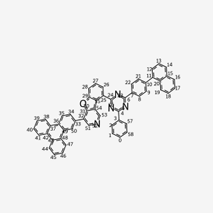 c1ccc(-c2nc(-c3ccc(-c4cccc5ccccc45)cc3)nc(-c3cccc4oc5c(-c6ccc7c8ccccc8c8ccccc8c7c6)cncc5c34)n2)cc1